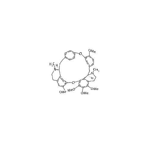 COc1ccc2cc1Oc1ccc(cc1)C[C@H]1c3cc(c(OC)cc3CCN1C)Oc1c(OC)c(OC)c(OC)c3c1[C@@H](C2)N(C)CC3